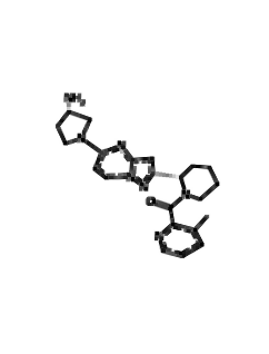 Cc1cccnc1C(=O)N1CCCC[C@H]1c1cc2nc(N3CC[C@H](N)C3)ccn2n1